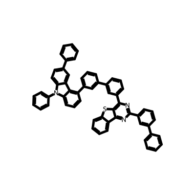 c1ccc(-c2cccc(-c3nc(-c4cccc(-c5cccc(-c6cccc7c6c6cc(-c8ccccc8)ccc6n7-c6ccccc6)c5)c4)c4sc5ccccc5c4n3)c2)cc1